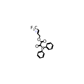 O=C(OC/C=C/C(F)(F)F)C(=O)N(c1ccccc1)c1ccccc1